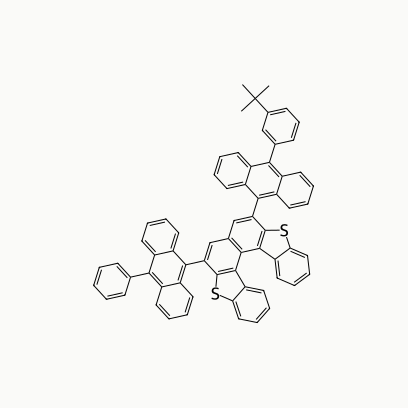 CC(C)(C)c1cccc(-c2c3ccccc3c(-c3cc4cc(-c5c6ccccc6c(-c6ccccc6)c6ccccc56)c5sc6ccccc6c5c4c4c3sc3ccccc34)c3ccccc23)c1